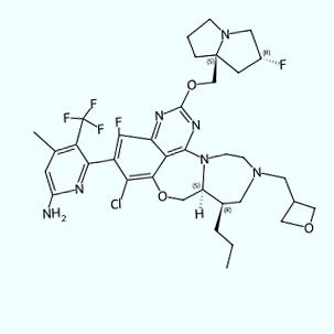 CCC[C@@H]1CN(CC2COC2)CCN2c3nc(OC[C@@]45CCCN4C[C@H](F)C5)nc4c(F)c(-c5nc(N)cc(C)c5C(F)(F)F)c(Cl)c(c34)OC[C@H]12